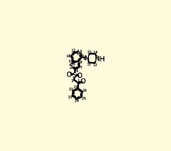 O=C(CS(=O)(=O)c1cc2c(N3CCNCC3)nccc2s1)c1ccccc1